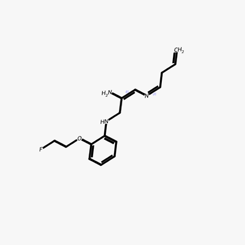 C=CC/C=N\C=C(\N)CNc1ccccc1OCCF